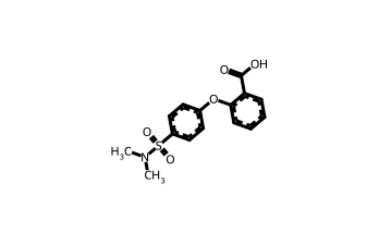 CN(C)S(=O)(=O)c1ccc(Oc2ccccc2C(=O)O)cc1